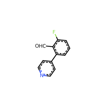 O=Cc1c(F)cccc1-c1ccncc1